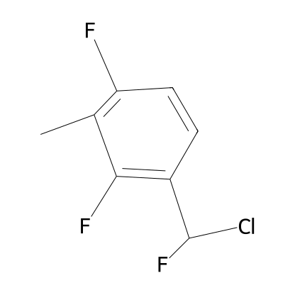 Cc1c(F)ccc(C(F)Cl)c1F